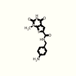 Cn1c(=O)[nH]c(=O)c2cc(C(=O)NCc3ccc(N)cc3)sc21